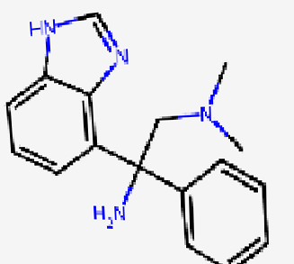 CN(C)CC(N)(c1ccccc1)c1cccc2[nH]cnc12